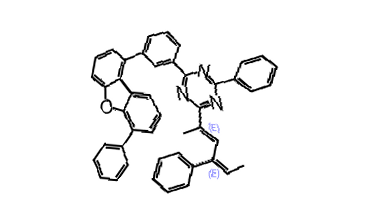 C/C=C(\C=C(/C)c1nc(-c2ccccc2)nc(-c2cccc(-c3cccc4oc5c(-c6ccccc6)cccc5c34)c2)n1)c1ccccc1